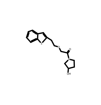 O=C(COCCc1cc2ccccc2s1)N1CCC(O)C1